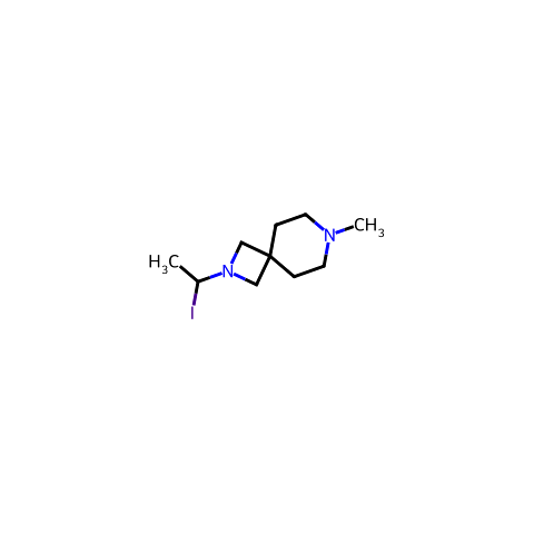 CC(I)N1CC2(CCN(C)CC2)C1